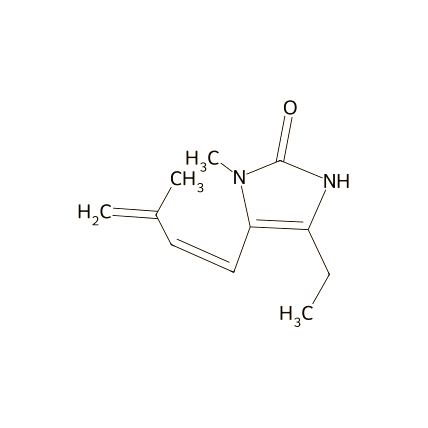 C=C(C)/C=C\c1c(CC)[nH]c(=O)n1C